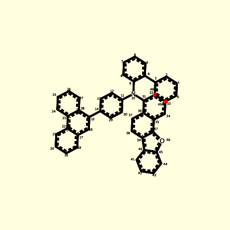 c1ccc(-c2ccccc2N(c2ccc(-c3cc4ccccc4c4ccccc34)cc2)c2cccc3c2ccc2c4ccccc4oc32)cc1